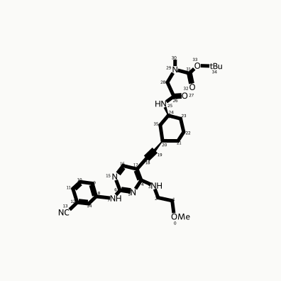 COCCNc1nc(Nc2cccc(C#N)c2)ncc1C#C[C@@H]1CCC[C@H](NC(=O)CN(C)C(=O)OC(C)(C)C)C1